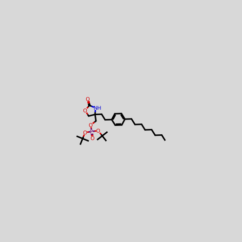 CCCCCCCCc1ccc(CCC2(COP(=O)(OC(C)(C)C)OC(C)(C)C)COC(=O)N2)cc1